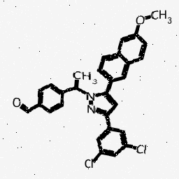 COc1ccc2cc(-c3cc(-c4cc(Cl)cc(Cl)c4)nn3C(C)c3ccc(C=O)cc3)ccc2c1